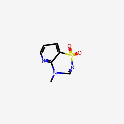 CN1C=NS(=O)(=O)c2cccnc21